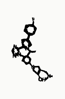 CC1c2cc(N3C[C@@H](CN(C)C)[C@H](O)C3)ccc2-n2ncnc2-c2cc(-c3ccc(F)cc3)cn21